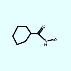 O=C([NH][Zr])C1CCCCC1